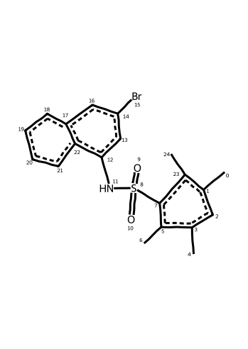 Cc1cc(C)c(C)c(S(=O)(=O)Nc2cc(Br)cc3ccccc23)c1C